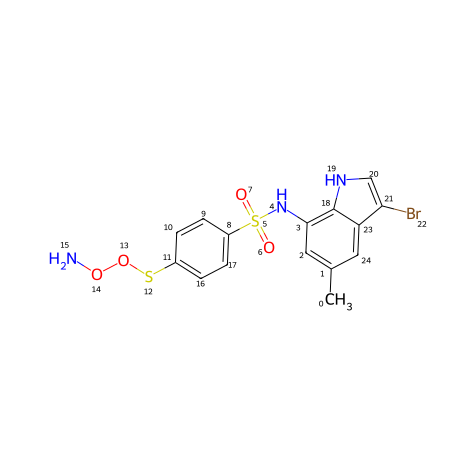 Cc1cc(NS(=O)(=O)c2ccc(SOON)cc2)c2[nH]cc(Br)c2c1